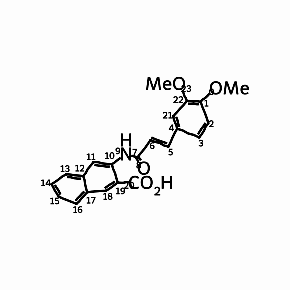 COc1ccc(C=CC(=O)Nc2cc3ccccc3cc2C(=O)O)cc1OC